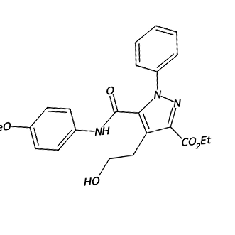 CCOC(=O)c1nn(-c2ccccc2)c(C(=O)Nc2ccc(OC)cc2)c1CCO